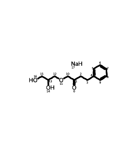 O=C(CCc1ccccc1)COCC(O)CO.[NaH]